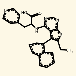 CCc1sc2ncnc(NC(Cc3ccncc3)C(=O)O)c2c1-c1cccc2ccccc12